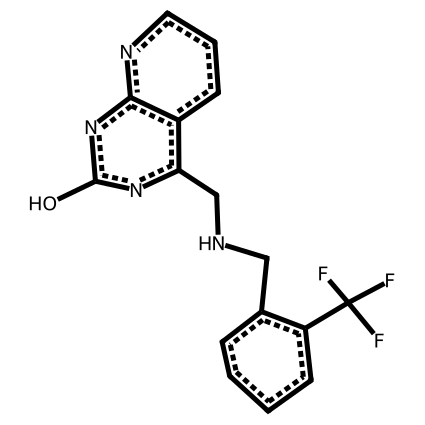 Oc1nc(CNCc2ccccc2C(F)(F)F)c2cccnc2n1